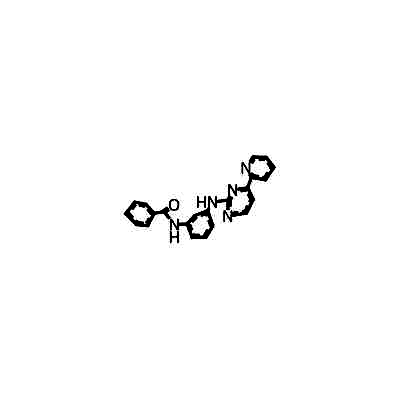 O=C(Nc1cccc(Nc2nccc(-c3ccccn3)n2)c1)c1ccccc1